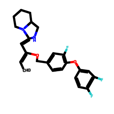 O=CC=C(/C=C1\NCC2CCCCN12)OCc1ccc(Oc2ccc(F)c(F)c2)c(F)c1